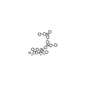 CC1(C)c2ccccc2-c2ccc(-c3nc(-c4ccc(-n5c6ccc(-c7ccccc7)cc6c6cc(-c7ccc8c(c7)c7cc(-c9ccccc9)ccc7n8-c7ccccc7)ccc65)cc4)c4c(ccc5ccccc54)n3)cc21